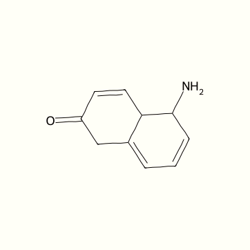 NC1C=CC=C2CC(=O)C=CC21